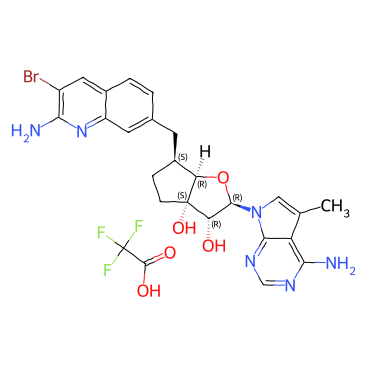 Cc1cn([C@@H]2O[C@@H]3[C@H](Cc4ccc5cc(Br)c(N)nc5c4)CC[C@]3(O)[C@H]2O)c2ncnc(N)c12.O=C(O)C(F)(F)F